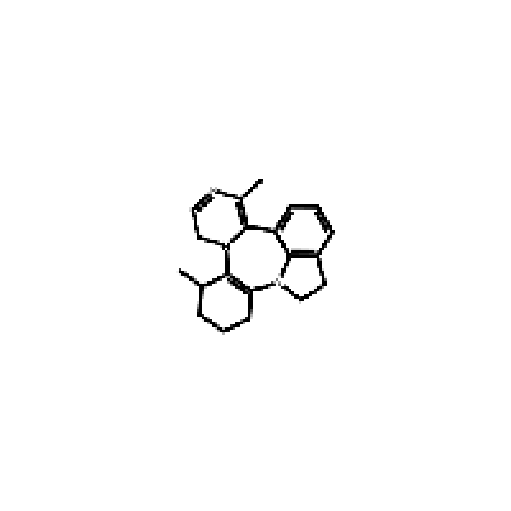 CC1=C2c3cccc4c3N(CC4)C3=C(C(C)CCC3)N2CC=N1